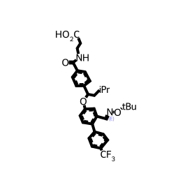 CC(C)CC(Oc1ccc(-c2ccc(C(F)(F)F)cc2)c(/C=N/OC(C)(C)C)c1)c1ccc(C(=O)NCCC(=O)O)cc1